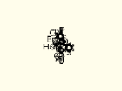 CS(=O)(=O)O[C@H]1C[C@@H](C2(c3ccccc3)Cc3c(cc(F)c(Cl)c3Br)O2)N(C(=O)O)C1